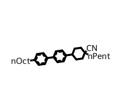 CCCCCCCCc1ccc(-c2ccc(C3CCC(C#N)(CCCCC)CC3)cc2)cc1